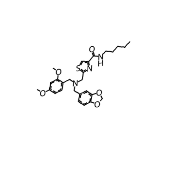 CCCCCNC(=O)c1csc(CN(Cc2ccc3c(c2)OCO3)Cc2ccc(OC)cc2OC)n1